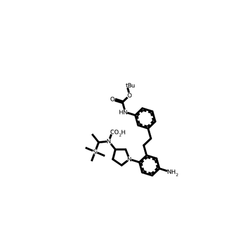 CC(N(C(=O)O)C1CCN(c2ccc(N)cc2CCc2cccc(NC(=O)OC(C)(C)C)c2)C1)[Si](C)(C)C